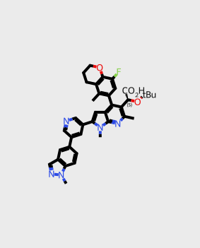 Cc1nc2c(cc(-c3cncc(-c4ccc5c(cnn5C)c4)c3)n2C)c(-c2cc(F)c3c(c2C)CCCO3)c1[C@H](OC(C)(C)C)C(=O)O